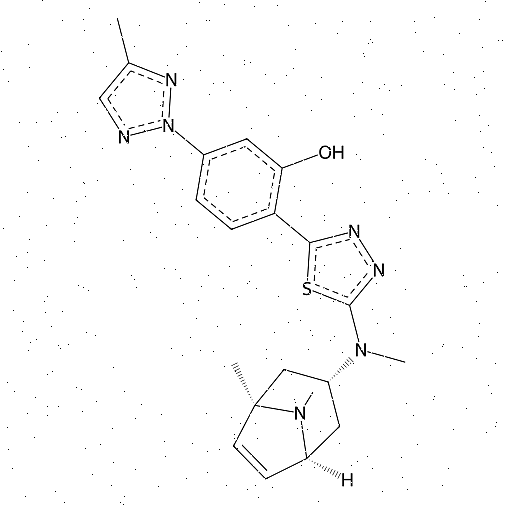 Cc1cnn(-c2ccc(-c3nnc(N(C)[C@@H]4C[C@H]5C=C[C@@](C)(C4)N5C)s3)c(O)c2)n1